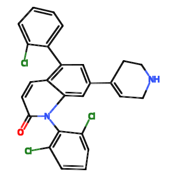 O=c1ccc2c(-c3ccccc3Cl)cc(C3=CCNCC3)cc2n1-c1c(Cl)cccc1Cl